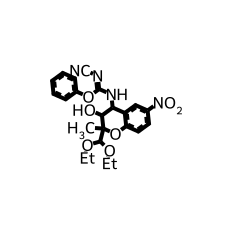 CCOC(OCC)C1(C)Oc2ccc([N+](=O)[O-])cc2C(NC(=NC#N)Oc2ccccc2)C1O